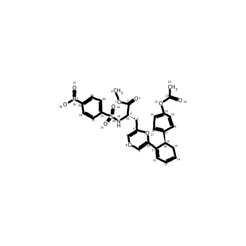 COC(=O)[C@H](CC1=COC=C(C2=CC=CC[C@@H]2c2ccc(OC(C)=O)cc2)O1)NS(=O)(=O)c1ccc([N+](=O)[O-])cc1